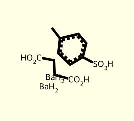 Cc1ccc(S(=O)(=O)O)cc1.O=C(O)CCC(=O)O.[BaH2].[BaH2]